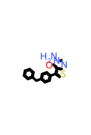 Nn1cnc2scc(-c3ccc(Cc4ccccc4)cc3)c2c1=O